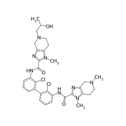 CC(O)CN1CCc2c(nc(C(=O)Nc3cccc(-c4cccc(NC(=O)c5nc6c(n5C)CCN(C)C6)c4Cl)c3Cl)n2C)C1